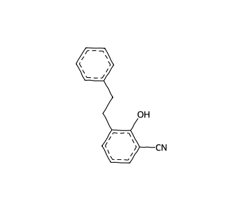 N#Cc1cccc(CCc2ccccc2)c1O